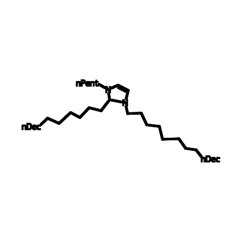 CCCCCCCCCCCCCCCCCCN1C=CN(CCCCC)C1CCCCCCCCCCCCCCCC